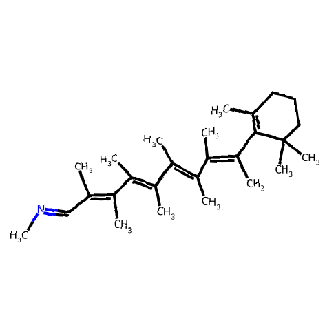 C/N=C/C(C)=C(C)/C(C)=C(C)/C(C)=C(C)/C(C)=C(\C)C1=C(C)CCCC1(C)C